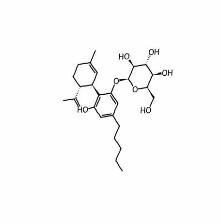 C=C(C)[C@@H]1CCC(C)=C[C@H]1c1c(O)cc(CCCCC)cc1O[C@@H]1O[C@H](CO)[C@H](O)[C@@H](O)[C@@H]1O